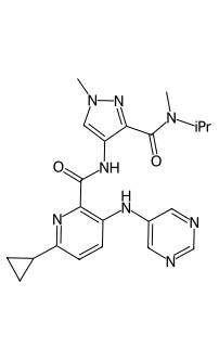 CC(C)N(C)C(=O)c1nn(C)cc1NC(=O)c1nc(C2CC2)ccc1Nc1cncnc1